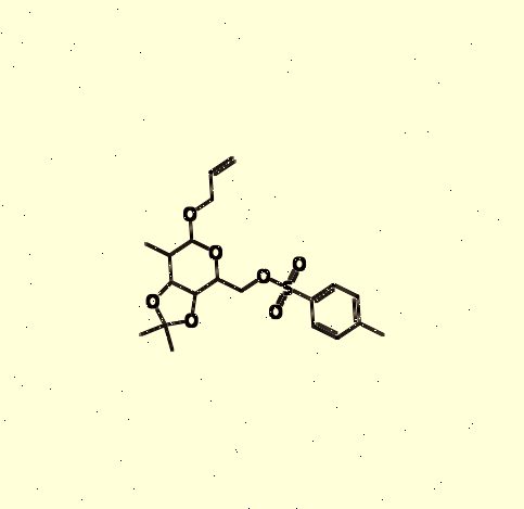 C=CCOC1OC(COS(=O)(=O)c2ccc(C)cc2)C2OC(C)(C)OC2C1C